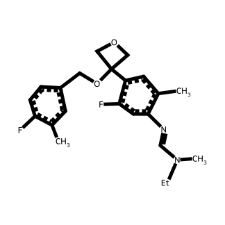 CCN(C)C=Nc1cc(F)c(C2(OCc3ccc(F)c(C)c3)COC2)cc1C